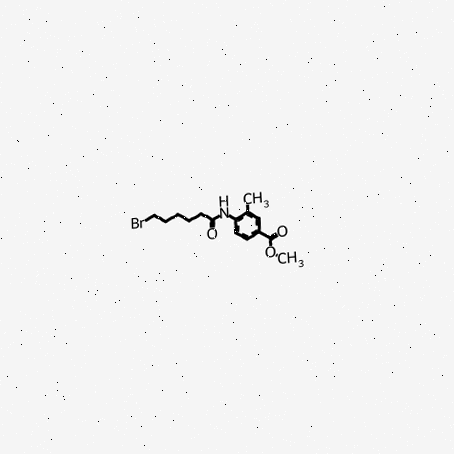 COC(=O)c1ccc(NC(=O)CCCCCBr)c(C)c1